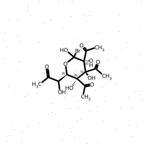 CC(=O)C(O)[C@H]1OC(O)(Br)[C@@](O)(C(C)=O)[C@](O)(C(C)=O)[C@@]1(O)C(C)=O